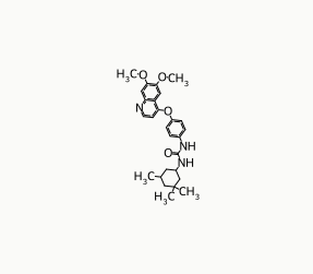 COc1cc2nccc(Oc3ccc(NC(=O)NC4CC(C)CC(C)(C)C4)cc3)c2cc1OC